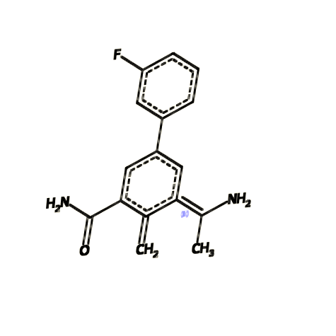 C=c1c(C(N)=O)cc(-c2cccc(F)c2)c/c1=C(/C)N